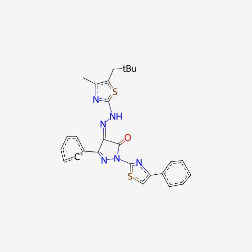 Cc1nc(N/N=C2\C(=O)N(c3nc(-c4ccccc4)cs3)N=C2c2ccccc2)sc1CC(C)(C)C